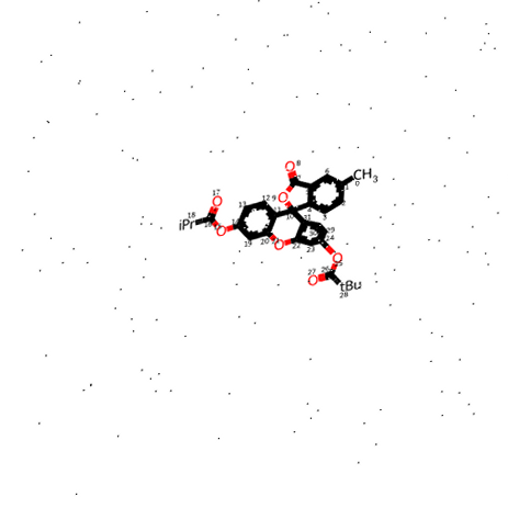 Cc1ccc2c(c1)C(=O)OC21c2ccc(OC(=O)C(C)C)cc2Oc2cc(OC(=O)C(C)(C)C)ccc21